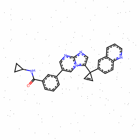 O=C(NC1CC1)c1cccc(-c2cnc3ncc(C4(c5ccc6ncccc6c5)C=C4)n3c2)c1